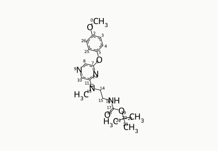 COc1ccc(Oc2cncc(N(C)CCNC(=O)OC(C)(C)C)n2)cc1